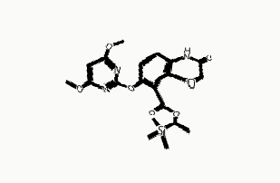 COc1cc(OC)nc(Oc2ccc3c(c2C(=O)OC(C)[Si](C)(C)C)OCC(=O)N3)n1